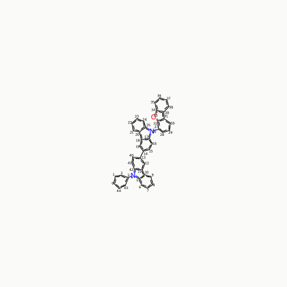 c1ccc(-n2c3ccccc3c3cc(-c4ccc5c(c4)c4ccccc4n5-c4cccc5c4oc4ccccc45)ccc32)cc1